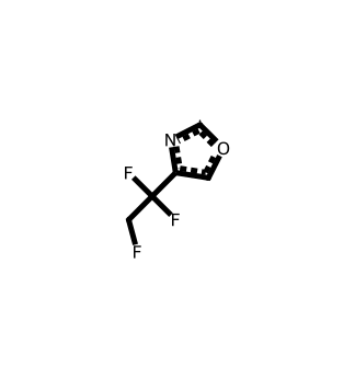 FCC(F)(F)c1co[c]n1